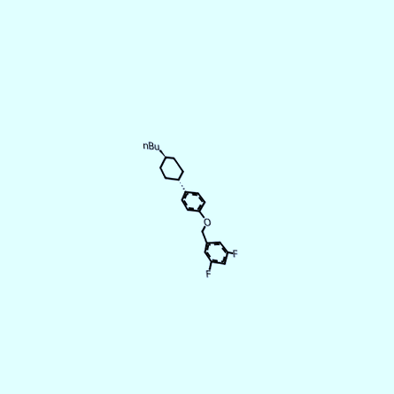 CCCC[C@H]1CC[C@H](c2ccc(OCc3cc(F)cc(F)c3)cc2)CC1